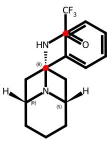 O=C(N[C@H]1C[C@H]2CCC[C@@H](C1)N2Cc1ccccc1)C(F)(F)F